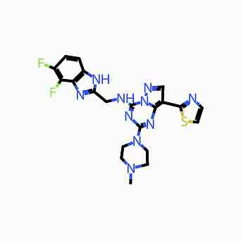 CN1CCN(c2nc(NCc3nc4c(F)c(F)ccc4[nH]3)n3ncc(-c4nccs4)c3n2)CC1